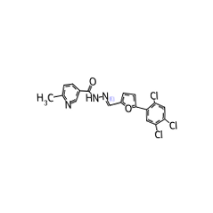 Cc1ccc(C(=O)N/N=C/c2ccc(-c3cc(Cl)c(Cl)cc3Cl)o2)cn1